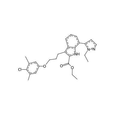 CCOC(=O)c1[nH]c2c(-c3ccnn3CC)cccc2c1CCCOc1cc(C)c(Cl)c(C)c1